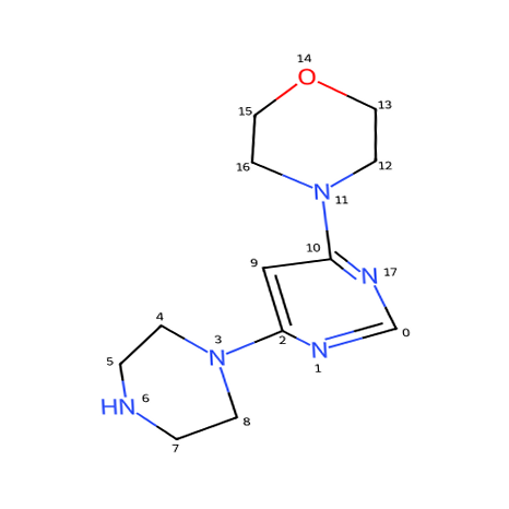 c1nc(N2CCNCC2)cc(N2CCOCC2)n1